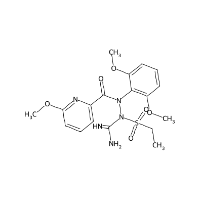 CCS(=O)(=O)N(C(=N)N)N(C(=O)c1cccc(OC)n1)c1c(OC)cccc1OC